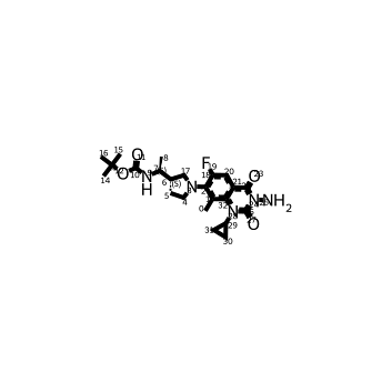 Cc1c(N2CC[C@H]([C@H](C)NC(=O)OC(C)(C)C)C2)c(F)cc2c(=O)n(N)c(=O)n(C3CC3)c12